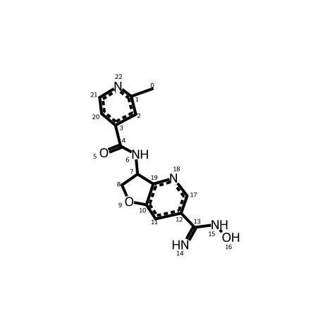 Cc1cc(C(=O)NC2COc3cc(C(=N)NO)cnc32)ccn1